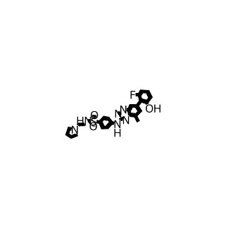 Cc1cc(-c2c(O)cccc2F)cc2nnc(Nc3ccc(S(=O)(=O)NCCN4CCCC4)cc3)nc12